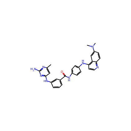 Cc1cc(Nc2cccc(C(=O)Nc3ccc(Nc4ccnc5ccc(N(C)C)cc45)cc3)c2)nc(N)n1